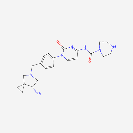 N[C@H]1CN(Cc2ccc(-n3ccc(NC(=O)N4CCNCC4)nc3=O)cc2)CC12CC2